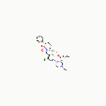 COC(=O)[C@@H]1CN(C(C)=O)CCN1c1ccc(CN2[C@@H](C)CCC(c3ccccc3)S2(=O)=O)c(F)c1